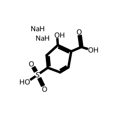 O=C(O)c1ccc(S(=O)(=O)O)cc1O.[NaH].[NaH]